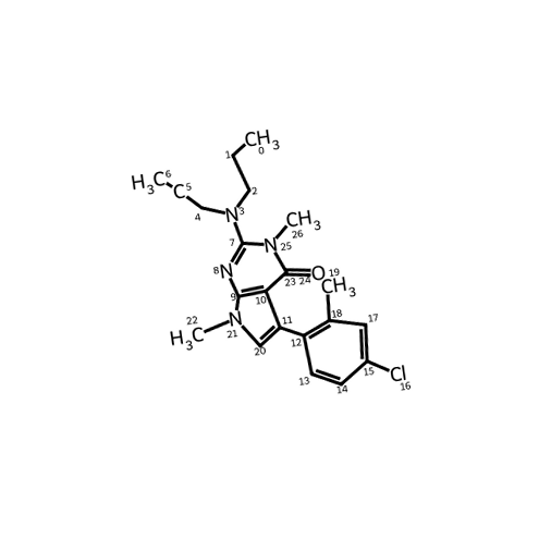 CCCN(CCC)c1nc2c(c(-c3ccc(Cl)cc3C)cn2C)c(=O)n1C